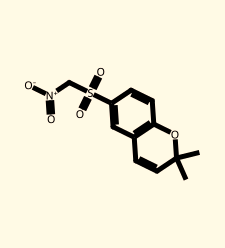 CC1(C)C=Cc2cc(S(=O)(=O)C[N+](=O)[O-])ccc2O1